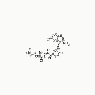 Cc1ccc(C(=O)Nc2cnc(OCCN(C)C)c(Cl)c2)cc1C#Cc1c(N)ncc2ccc(Cl)cc12